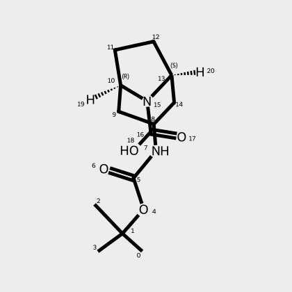 CC(C)(C)OC(=O)NC1C[C@H]2CC[C@@H](C1)N2C(=O)O